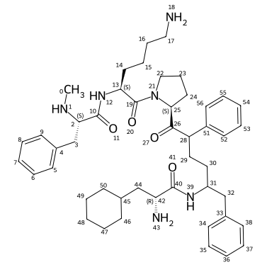 CN[C@@H](Cc1ccccc1)C(=O)N[C@@H](CCCCN)C(=O)N1CCC[C@H]1C(=O)C(CCC(Cc1ccccc1)NC(=O)[C@H](N)CC1CCCCC1)c1ccccc1